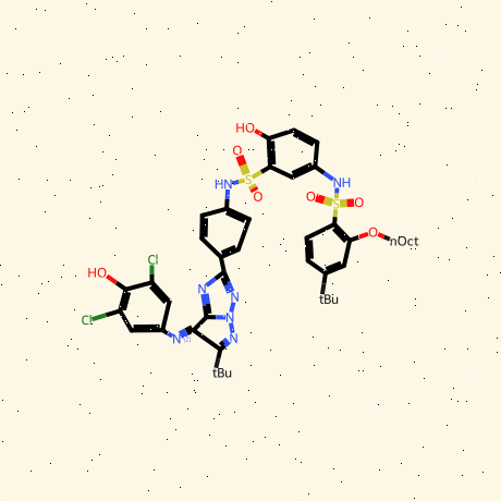 CCCCCCCCOc1cc(C(C)(C)C)ccc1S(=O)(=O)Nc1ccc(O)c(S(=O)(=O)Nc2ccc(-c3nc4n(n3)N=C(C(C)(C)C)/C4=N/c3cc(Cl)c(O)c(Cl)c3)cc2)c1